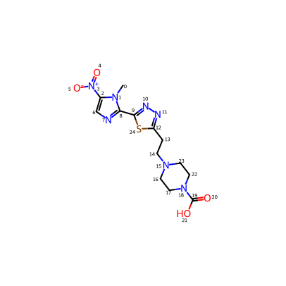 Cn1c([N+](=O)[O-])cnc1-c1nnc(CCN2CCN(C(=O)O)CC2)s1